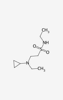 CCNS(=O)(=O)CCN(CC)C1CC1